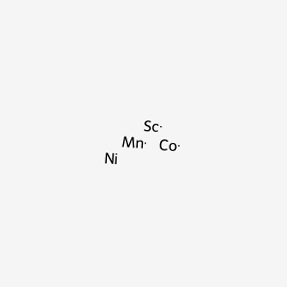 [Co].[Mn].[Ni].[Sc]